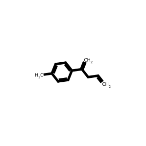 C=CCC(=C)c1ccc(C)cc1